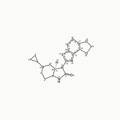 O=C1NC2CCN(C3CC3)C[C@H]2N1c1nc2c3c(ccc2s1)OCO3